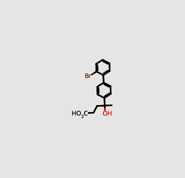 CC(O)(CCC(=O)O)c1ccc(-c2ccccc2Br)cc1